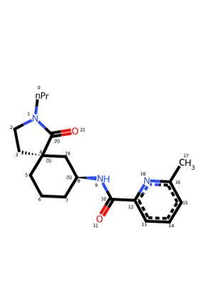 CCCN1CC[C@]2(CCC[C@H](NC(=O)c3cccc(C)n3)C2)C1=O